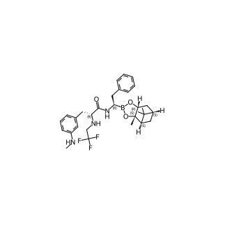 CNc1cccc(C[C@@H](NCC(F)(F)F)C(=O)N[C@@H](Cc2ccccc2)B2O[C@@H]3C[C@@H]4C[C@@H](C4(C)C)[C@]3(C)O2)c1